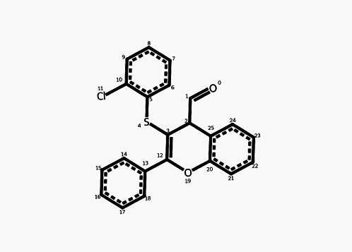 O=CC1C(Sc2ccccc2Cl)=C(c2ccccc2)Oc2ccccc21